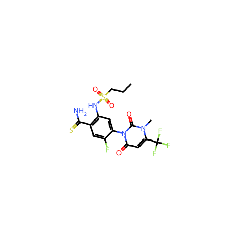 CCCS(=O)(=O)Nc1cc(-n2c(=O)cc(C(F)(F)F)n(C)c2=O)c(F)cc1C(N)=S